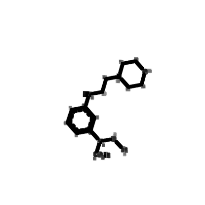 CCOC(=O)N(OCC)c1cccc(NCCN2CCOCC2)c1